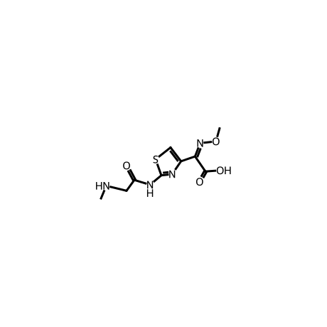 CNCC(=O)Nc1nc(/C(=N/OC)C(=O)O)cs1